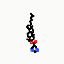 CC(C)=CCCCC1CCC2C3=C(CCC12C)C1(C)CCC(OC(=O)c2cncnc2)C(C)(C)C1CC3